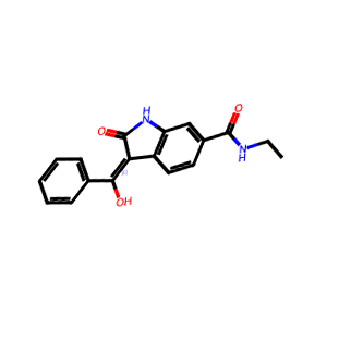 CCNC(=O)c1ccc2c(c1)NC(=O)/C2=C(/O)c1ccccc1